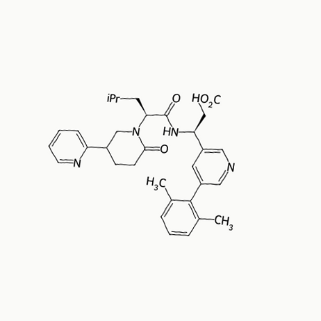 Cc1cccc(C)c1-c1cncc([C@H](CC(=O)O)NC(=O)[C@H](CC(C)C)N2CC(c3ccccn3)CCC2=O)c1